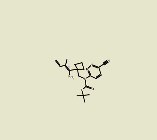 C=C/C(F)=C(\N)C1(CN(C(=O)OC(C)(C)C)c2ccc(C#N)nn2)CCC1